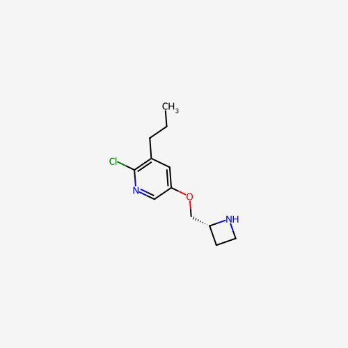 CCCc1cc(OC[C@H]2CCN2)cnc1Cl